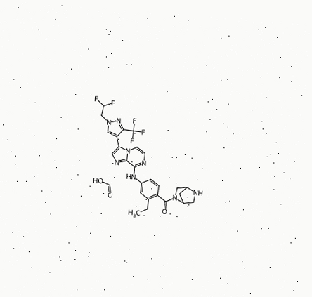 CCc1cc(Nc2nccn3c(-c4cn(CC(F)F)nc4C(F)(F)F)cnc23)ccc1C(=O)N1CC2CC1CN2.O=CO